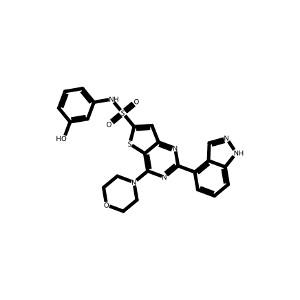 O=S(=O)(Nc1cccc(O)c1)c1cc2nc(-c3cccc4[nH]ncc34)nc(N3CCOCC3)c2s1